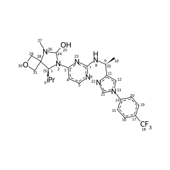 CC(C)[C@@H]1N(c2ccnc(N[C@@H](C)c3cn(-c4ccc(C(F)(F)F)cc4)cn3)n2)C(O)N(C)C12COC2